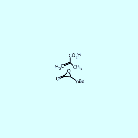 C=C(C)C(=O)O.CCCCC1OC1=O